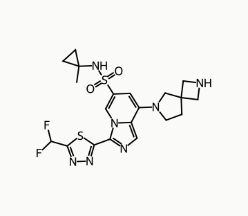 CC1(NS(=O)(=O)c2cc(N3CCC4(CNC4)C3)c3cnc(-c4nnc(C(F)F)s4)n3c2)CC1